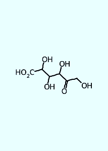 O=C(O)C(O)C(O)C(O)C(=O)CO